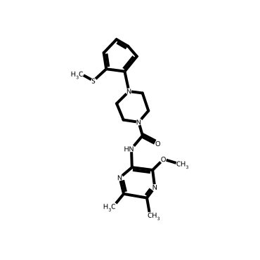 COc1nc(C)c(C)nc1NC(=O)N1CCN(c2ccccc2SC)CC1